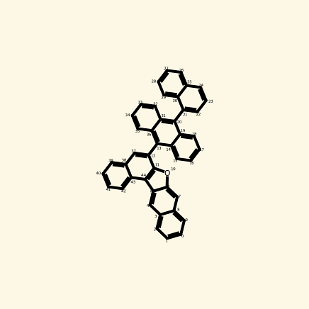 c1ccc2cc3c(cc2c1)oc1c(-c2c4ccccc4c(-c4cccc5ccccc45)c4ccccc24)cc2ccccc2c13